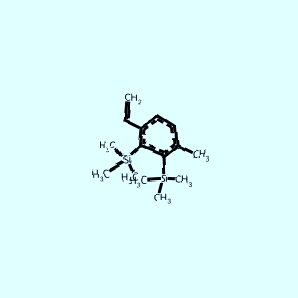 C=Cc1ccc(C)c([Si](C)(C)C)c1[Si](C)(C)C